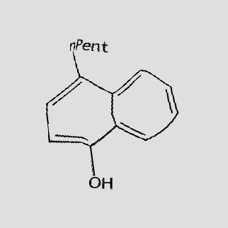 CCCCCc1ccc(O)c2ccccc12